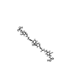 CC(C#Cc1ccc2c(c1)[nH]c1cc(C#CC=CCSc3ccc(OCC(=O)O)c(C)c3)ccc12)=CCSc1ccc(OCC(=O)O)c(C)c1